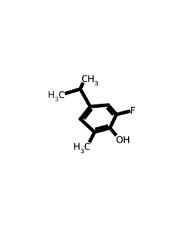 Cc1cc(C(C)C)cc(F)c1O